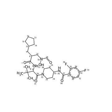 CC(C)(C)C(NC(=O)C(CC1CCCC1)CN(O)C=O)C(=O)N1CCC(NC(=O)c2ccc(F)cc2F)CC1